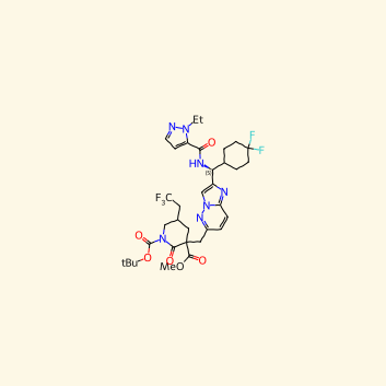 CCn1nccc1C(=O)N[C@H](c1cn2nc(CC3(C(=O)OC)CC(CC(F)(F)F)CN(C(=O)OC(C)(C)C)C3=O)ccc2n1)C1CCC(F)(F)CC1